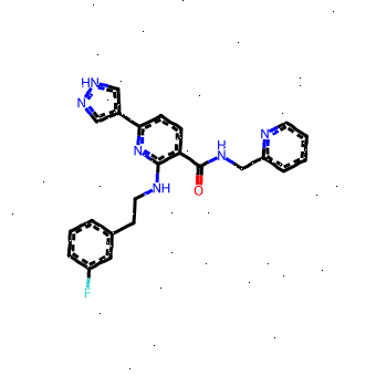 O=C(NCc1ccccn1)c1ccc(-c2cn[nH]c2)nc1NCCc1cccc(F)c1